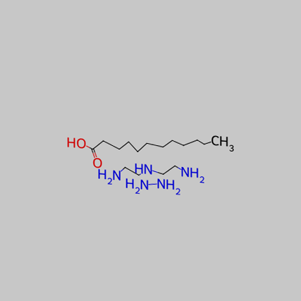 CCCCCCCCCCCC(=O)O.NCCNCCN.NN